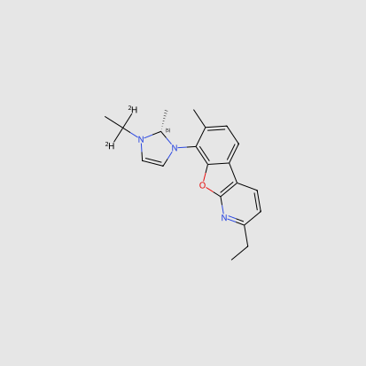 [2H]C([2H])(C)N1C=CN(c2c(C)ccc3c2oc2nc(CC)ccc23)[C@H]1C